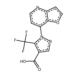 O=C(O)c1cnn(-c2ccnc3ccoc23)c1C(F)(F)F